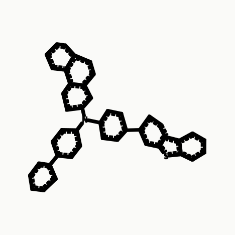 c1ccc(-c2ccc(N(c3ccc(-c4ccc5c(c4)sc4ccccc45)cc3)c3ccc4c(ccc5ccccc54)c3)cc2)cc1